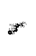 CNc1ncc(-c2nn(C)c(=O)o2)cc1-c1ccc(C(=O)Nc2c(F)cccc2F)s1